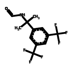 CC(C)(NC=O)c1cc(C(F)(F)F)cc(C(F)(F)F)c1